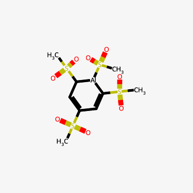 CS(=O)(=O)C1=C[CH](S(C)(=O)=O)[Al]([S](C)(=O)=O)[C](S(C)(=O)=O)=C1